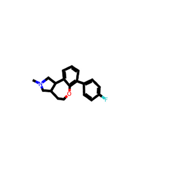 CN1CC2CCOc3c(-c4ccc(F)cc4)cccc3C2C1